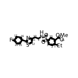 CCc1ccc(S(=O)(=O)NCCc2csc(-c3ccc(F)cc3)n2)cc1C(=O)OC